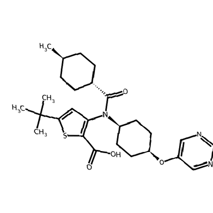 CC(C)(C)c1cc(N(C(=O)[C@H]2CC[C@H](C)CC2)[C@H]2CC[C@@H](Oc3cncnc3)CC2)c(C(=O)O)s1